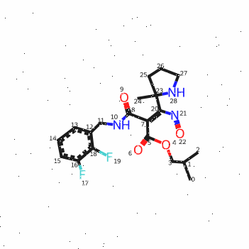 CC(C)COC(=O)/C(C(=O)NCc1cccc(F)c1F)=C(\N=O)C1(C)CCCN1